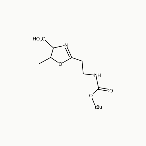 CC1OC(CCNC(=O)OC(C)(C)C)=NC1C(=O)O